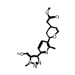 COC(=O)CC1CCOC(c2ccc(-c3nnn(C)c3CO)nc2C)C1